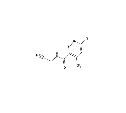 C#CCNC(=O)c1cnc(C)cc1C(F)(F)F